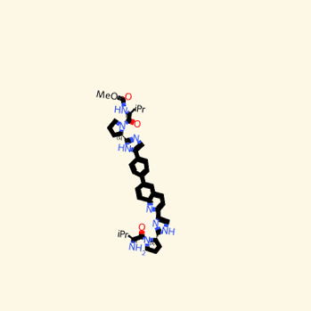 COC(=O)N[C@H](C(=O)N1CCC[C@H]1c1ncc(-c2ccc(-c3ccc4nc(-c5c[nH]c([C@@H]6CCCN6C(=O)[C@@H](N)C(C)C)n5)ccc4c3)cc2)[nH]1)C(C)C